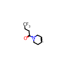 O=C(CCC(F)(F)F)N1CC=[C]CC1